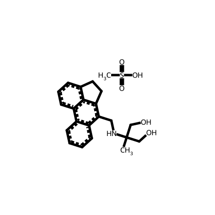 CC(CO)(CO)NCc1c2c3c(cccc3c3ccccc13)CC2.CS(=O)(=O)O